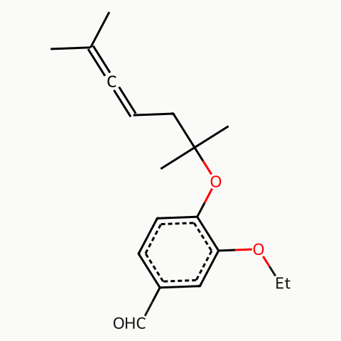 CCOc1cc(C=O)ccc1OC(C)(C)CC=C=C(C)C